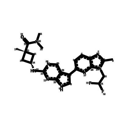 Cc1nc2ccc(-c3c[nH]c4nc(N[C@H]5C[C@](C)(C(=O)N(C)C)C5)ncc34)nc2n1CC(F)F